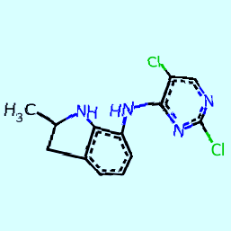 CC1Cc2cccc(Nc3nc(Cl)ncc3Cl)c2N1